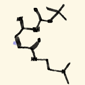 CN(C)CCNC(=O)/C=C\C(=N)NC(=O)OC(C)(C)C